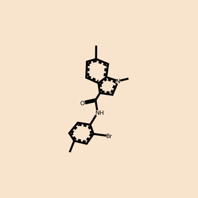 Cc1ccc(NC(=O)c2cn(C)c3cc(C)ccc23)c(Br)c1